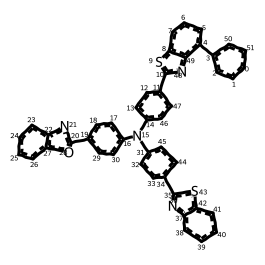 c1ccc(-c2cccc3sc(-c4ccc(N(c5ccc(-c6nc7ccccc7o6)cc5)c5ccc(-c6nc7ccccc7s6)cc5)cc4)nc23)cc1